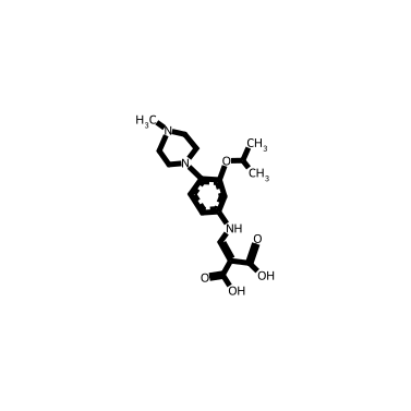 CC(C)Oc1cc(NC=C(C(=O)O)C(=O)O)ccc1N1CCN(C)CC1